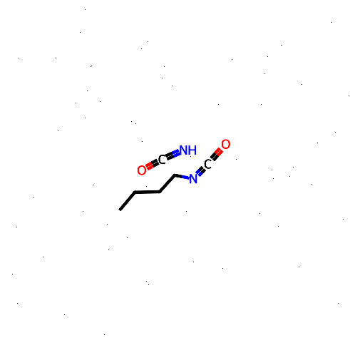 CCCCN=C=O.N=C=O